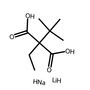 CCC(C(=O)O)(C(=O)O)C(C)(C)C.[LiH].[NaH]